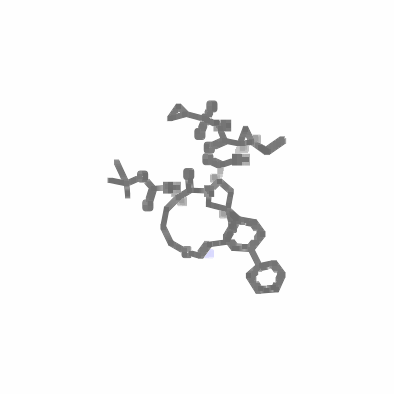 C=C[C@@H]1C[C@]1(NC(=O)[C@@H]1C[C@@]2(c3ccc(-c4ccccc4)cc3)CN1C(=O)[C@@H](NC(=O)OC(C)(C)C)CCCC/C=C/CS2)C(=O)NS(=O)(=O)C1CC1